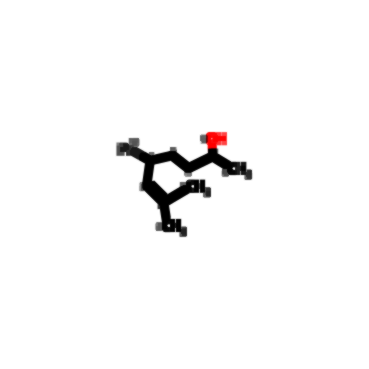 CC(C)=CC(CCC(C)O)C(C)C